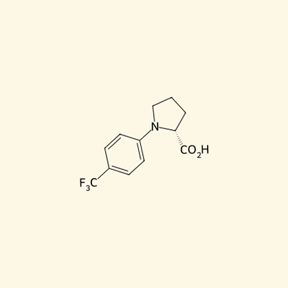 O=C(O)[C@H]1CCCN1c1ccc(C(F)(F)F)cc1